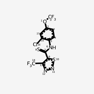 FC(F)(F)Oc1ccc(NC(=S)c2snnc2C(F)(F)F)c(Cl)c1